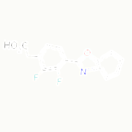 O=C(O)Cc1ccc(-c2nc3ccccc3o2)c(F)c1F